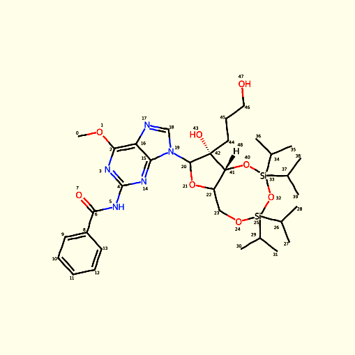 COc1nc(NC(=O)c2ccccc2)nc2c1ncn2C1OC2CO[Si](C(C)C)(C(C)C)O[Si](C(C)C)(C(C)C)O[C@H]2[C@]1(O)CCCO